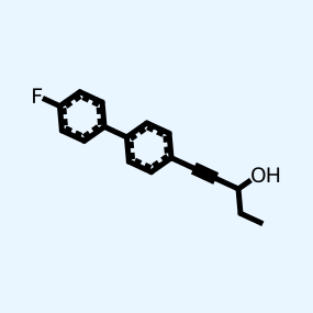 CCC(O)C#Cc1ccc(-c2ccc(F)cc2)cc1